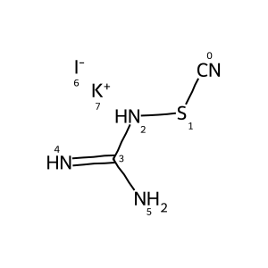 N#CSNC(=N)N.[I-].[K+]